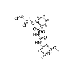 COc1nc(C)nc(NC(=O)NS(=O)(=O)c2ccccc2OCC(Cl)CCl)n1